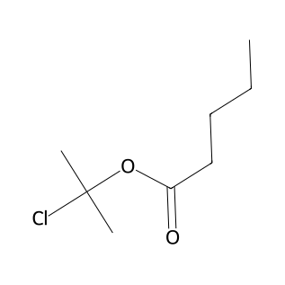 CCCCC(=O)OC(C)(C)Cl